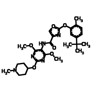 COc1nc(OC2CCN(C)CC2)nc(OC)c1NC(=O)c1coc(Oc2cc(C(C)(C)C)ccc2C)n1